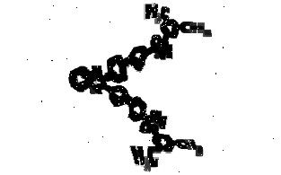 Cc1cc(C)cc(-c2nnc(-c3ccc(-c4ccc(-c5nc6ccccc6nc5-c5ccc(-c6ccc(-c7nnc(-c8cc(C)cc(C)c8)o7)cc6)cc5)cc4)cc3)o2)c1